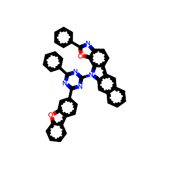 c1ccc(-c2nc(-c3ccc4c(c3)oc3ccccc34)nc(-n3c4cc5ccccc5cc4c4ccc5nc(-c6ccccc6)oc5c43)n2)cc1